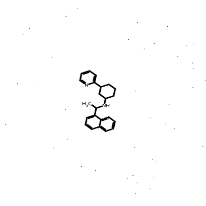 CC(NC1CCCC(c2ccccn2)C1)c1cccc2ccccc12